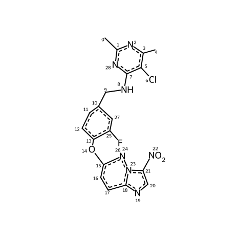 Cc1nc(C)c(Cl)c(NCc2ccc(Oc3ccc4ncc([N+](=O)[O-])n4n3)c(F)c2)n1